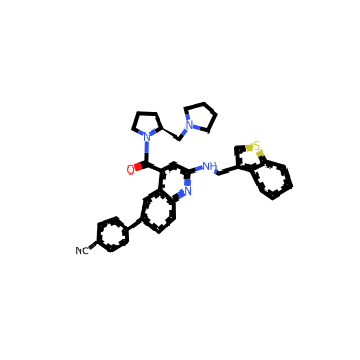 N#Cc1ccc(-c2ccc3nc(NCc4csc5ccccc45)cc(C(=O)N4CCC[C@H]4CN4CCCC4)c3c2)cc1